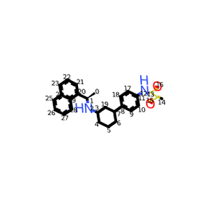 C[C@@H](NC1CCCC(c2ccc(NS(C)(=O)=O)cc2)C1)c1cccc2ccccc12